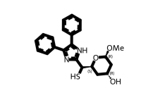 CO[C@H]1C[C@H](O)C[C@@H](C(S)c2nc(-c3ccccc3)c(-c3ccccc3)[nH]2)O1